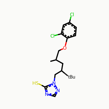 CC(COc1ccc(Cl)cc1Cl)CC(Cn1ncnc1S)C(C)(C)C